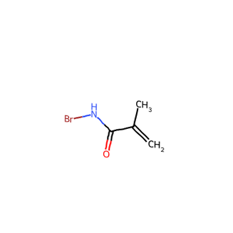 C=C(C)C(=O)NBr